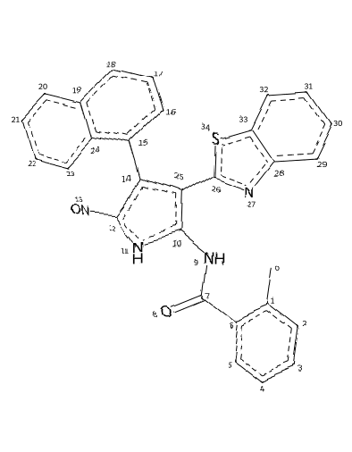 Cc1ccccc1C(=O)Nc1[nH]c(N=O)c(-c2cccc3ccccc23)c1-c1nc2ccccc2s1